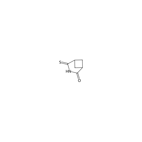 O=C1NC(=S)C2CC1C2